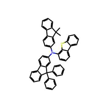 CC1(C)c2ccccc2-c2ccc(N(c3ccc4c(c3)C(c3ccccc3)(c3ccccc3)c3ccccc3-4)c3cccc4c3sc3ccccc34)cc21